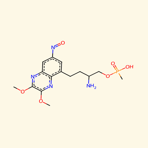 COc1nc2cc(N=O)cc(CCC(N)COP(C)(=O)O)c2nc1OC